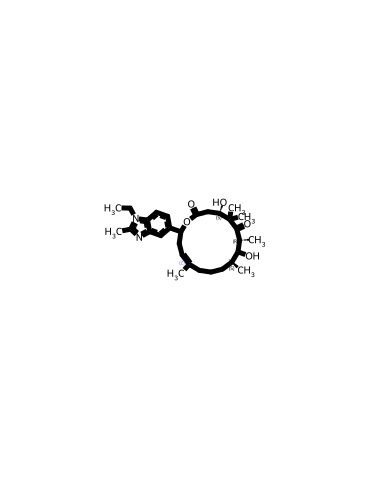 CCn1c(C)nc2cc(C3C/C=C(/C)CCC[C@H](C)C(O)[C@@H](C)C(=O)C(C)(C)[C@@H](O)CC(=O)O3)ccc21